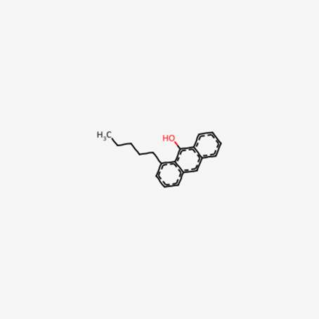 CCCCCc1cccc2cc3ccccc3c(O)c12